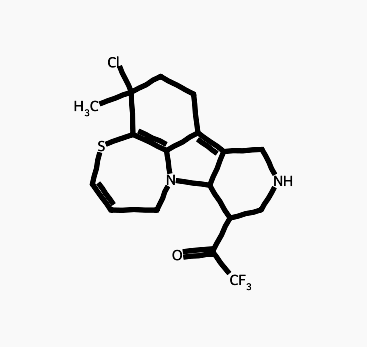 CC1(Cl)CCC2=C3CNCC(C(=O)C(F)(F)F)C3N3CC=CSC1=C23